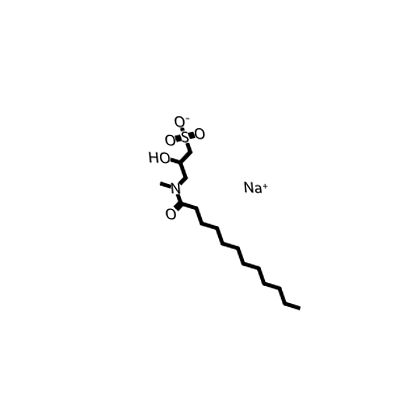 CCCCCCCCCCCC(=O)N(C)CC(O)CS(=O)(=O)[O-].[Na+]